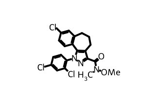 CON(C)C(=O)c1nn(-c2ccc(Cl)cc2Cl)c2c1CCCc1cc(Cl)ccc1-2